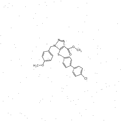 COC(=O)c1nnn(Cc2ccc(OC)cc2)c1Sc1ccc(-c2ccc(Cl)cc2)cc1